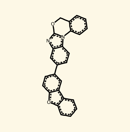 c1ccc2c(c1)COc1nc3cc(-c4ccc5oc6ccccc6c5c4)ccc3n1-2